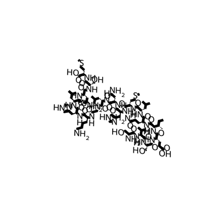 CC[C@H](C)[C@H](NC(=O)[C@H](CCC(=O)O)NC(=O)[C@H](CO)NC(=O)[C@@H](NC(=O)[C@@H](N)CO)C(C)C)C(=O)N[C@@H](CCC(N)=O)C(=O)N[C@@H](CC(C)C)C(=O)N[C@@H](CCSC)C(=O)N[C@@H](Cc1c[nH]cn1)C(=O)N[C@@H](CC(N)=O)C(=O)N[C@@H](CC(C)C)C(=O)NCC(=O)N[C@@H](CCCCN)C(=O)N[C@@H](Cc1c[nH]cn1)C(=O)N[C@@H](CC(C)C)C(=O)N[C@@H](CC(N)=O)C(=O)N[C@@H](CO)C(=O)N[C@@H](CCSC)C(=O)O